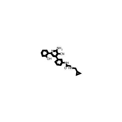 N#Cc1c(-c2cccc(NC(=O)CNCC3CC3)c2)cc(-c2ccccc2O)nc1N